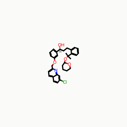 CC(C)(OC1CCCCO1)c1ccccc1CC[C@H](O)c1cccc(OCc2ccc3ccc(Cl)cc3n2)c1